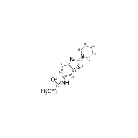 C=CC(=O)Nc1ccc2nc(N3CCCCC3)sc2c1